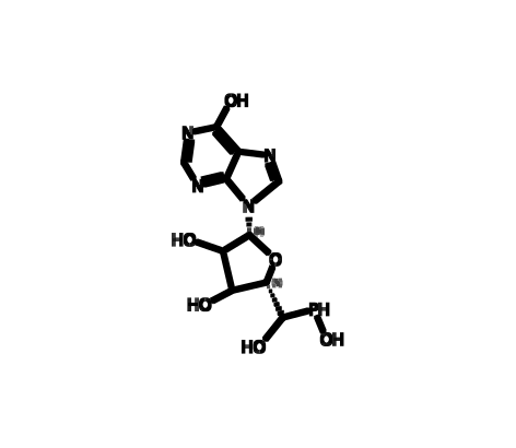 OPC(O)[C@H]1O[C@@H](n2cnc3c(O)ncnc32)C(O)C1O